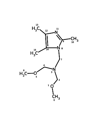 COCN(COC)Cn1c(C)nc(C)c1C